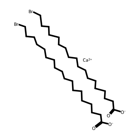 O=C([O-])CCCCCCCCCCCCCCCCCBr.O=C([O-])CCCCCCCCCCCCCCCCCBr.[Ca+2]